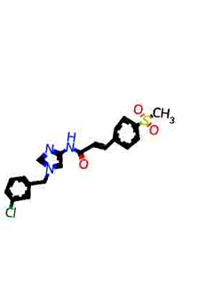 CS(=O)(=O)c1ccc(/C=C/C(=O)Nc2cn(Cc3cccc(Cl)c3)cn2)cc1